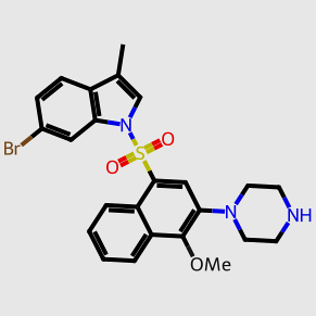 COc1c(N2CCNCC2)cc(S(=O)(=O)n2cc(C)c3ccc(Br)cc32)c2ccccc12